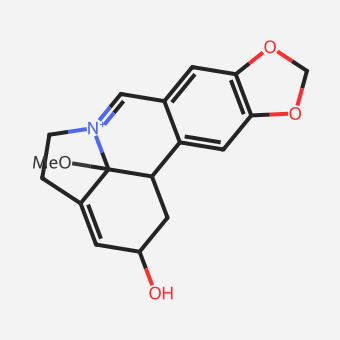 COC12C3=CC(O)CC1c1cc4c(cc1C=[N+]2CC3)OCO4